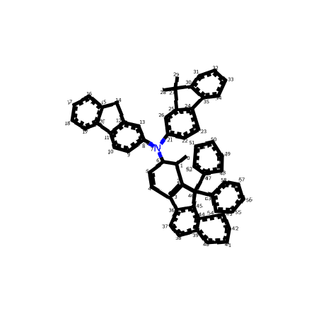 CC1C2=C(C=CC1N(c1ccc3c(c1)Cc1ccccc1-3)c1ccc3c(c1)C(C)(C)c1ccccc1-3)c1ccc3ccccc3c1C2(c1ccccc1)c1ccccc1